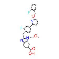 COCCn1c(Cc2ccc(-c3cccc(OCc4ccccc4F)n3)cc2F)nc2ccc(C(=O)O)cc21